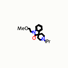 COCCN1C(=O)C2(CCN(C(C)C)CC2)c2ccccc21